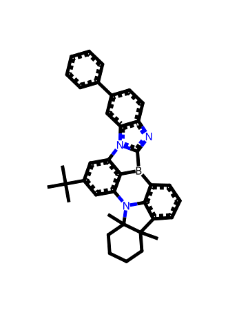 CC(C)(C)c1cc2c3c(c1)-n1c(nc4ccc(-c5ccccc5)cc41)B3c1cccc3c1N2C1(C)CCCCC31C